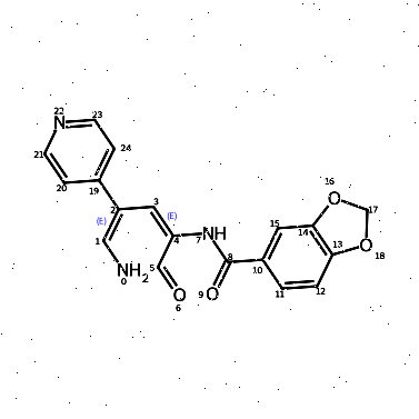 N/C=C(\C=C(/C=O)NC(=O)c1ccc2c(c1)OCO2)c1ccncc1